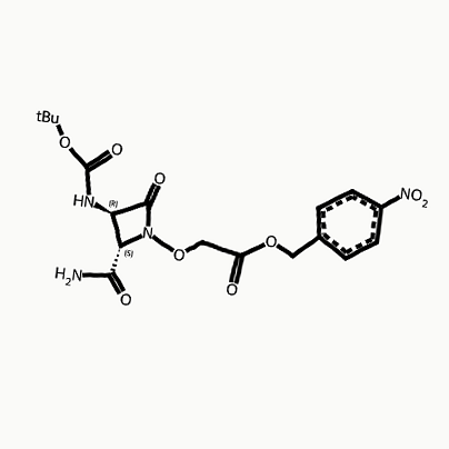 CC(C)(C)OC(=O)N[C@H]1C(=O)N(OCC(=O)OCc2ccc([N+](=O)[O-])cc2)[C@@H]1C(N)=O